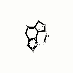 OCl.c1nnn2c1CN=C1CNCC12